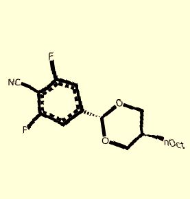 CCCCCCCC[C@H]1CO[C@H](c2cc(F)c(C#N)c(F)c2)OC1